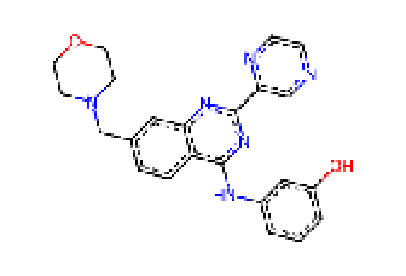 Oc1cccc(Nc2nc(-c3cnccn3)nc3cc(CN4CCOCC4)ccc23)c1